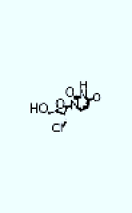 O=c1ccn([C@@H]2O[C@H](CO)[C@H]2CCl)c(=O)[nH]1